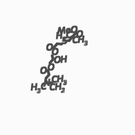 C=C(C)N(C)CCC(=O)OCC(O)COC(=O)CCSCC(C)(C)C(=O)OC